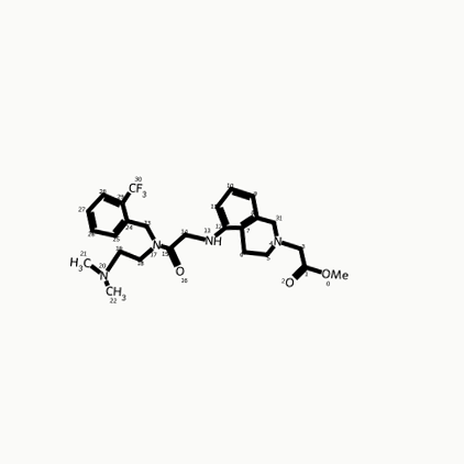 COC(=O)CN1CCc2c(cccc2NCC(=O)N(CCN(C)C)Cc2ccccc2C(F)(F)F)C1